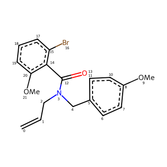 C=CCN(Cc1ccc(OC)cc1)C(=O)c1c(Br)cccc1OC